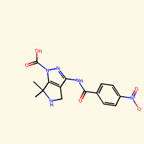 CC1(C)NCc2c(NC(=O)c3ccc([N+](=O)[O-])cc3)nn(C(=O)O)c21